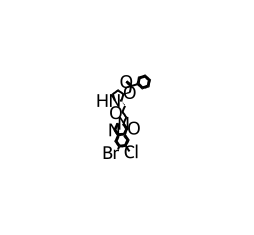 O=C(C[C@@H]1NCC[C@H]1OC(=O)c1ccccc1)Cn1cnc2cc(Br)c(Cl)cc2c1=O